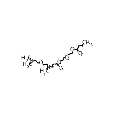 CCCC(=O)OCCOCCOC(=O)CCN(C)CCOCCN(C)C